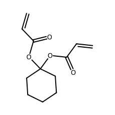 C=CC(=O)OC1(OC(=O)C=C)CCCCC1